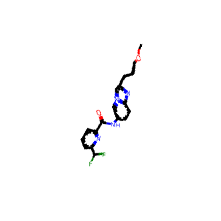 COCCCc1cn2cc(NC(=O)c3cccc(C(F)F)n3)ccc2n1